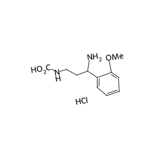 COc1ccccc1C(N)CCNC(=O)O.Cl